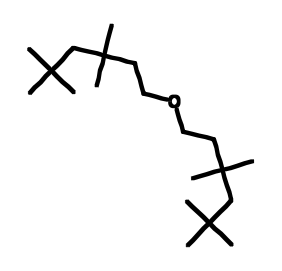 CC(C)(C)CC(C)(C)CCOCCC(C)(C)CC(C)(C)C